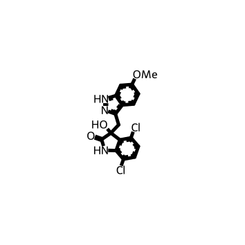 COc1ccc2c(CC3(O)C(=O)Nc4c(Cl)ccc(Cl)c43)n[nH]c2c1